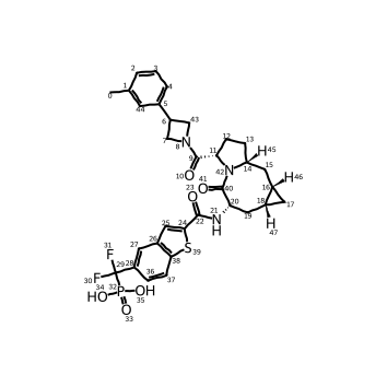 Cc1cccc(C2CN(C(=O)[C@@H]3CC[C@@H]4C[C@@H]5C[C@@H]5C[C@H](NC(=O)c5cc6cc(C(F)(F)P(=O)(O)O)ccc6s5)C(=O)N43)C2)c1